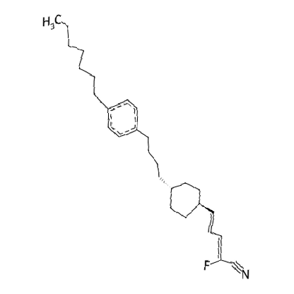 CCCCCCCc1ccc(CCCC[C@H]2CC[C@H](C=CC=C(F)C#N)CC2)cc1